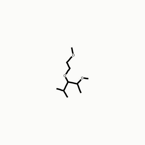 COCCOC(C(C)C)C(C)OC